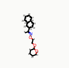 CC(=NOCCOC1CCCCO1)c1ccc2ccccc2c1